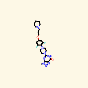 Cn1nnc2c(=O)[nH]c(N3CCN(c4c(F)cc(OCCCN5CCCCC5)cc4F)CC3)nc21